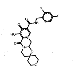 O=C(NCc1ccc(F)cc1F)c1cn2c(c(O)c1=O)C(=O)N1CCC3(CCOCC3)OC1C2